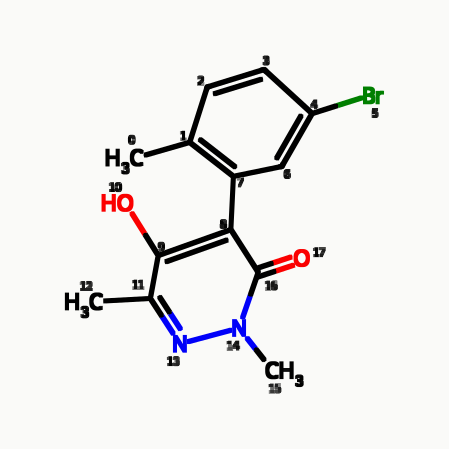 Cc1ccc(Br)cc1-c1c(O)c(C)nn(C)c1=O